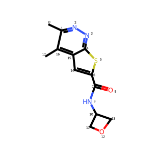 Cc1nnc2sc(C(=O)NC3COC3)cc2c1C